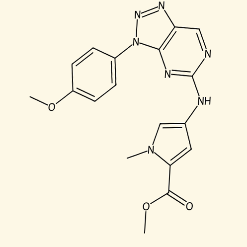 COC(=O)c1cc(Nc2ncc3nnn(-c4ccc(OC)cc4)c3n2)cn1C